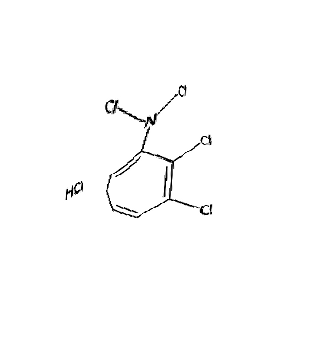 Cl.Clc1cccc(N(Cl)Cl)c1Cl